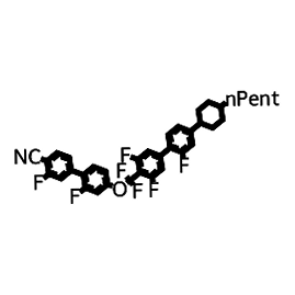 CCCCCC1CCC(c2ccc(-c3cc(F)c(C(F)(F)Oc4ccc(-c5ccc(C#N)c(F)c5)c(F)c4)c(F)c3)c(F)c2)CC1